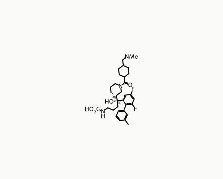 CNCC1CCC(C(=O)N2CCC[C@@H]([C@@](O)(CCCNC(=O)O)c3cc(F)cc(F)c3-c3cccc(C)c3)C2)CC1